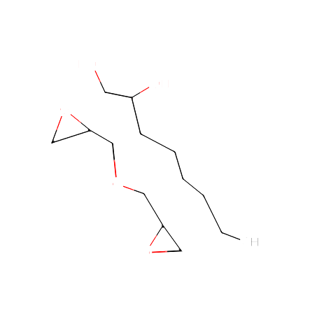 C(OCC1CO1)C1CO1.CCCCCCC(O)CO